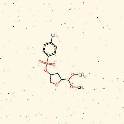 COC(OC)C1CC(OS(=O)(=O)c2ccc(C)cc2)CO1